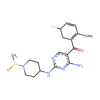 COC1=C(C(=O)c2cnc(NC3CCN([S+](C)[O-])CC3)nc2N)CC(F)C=C1